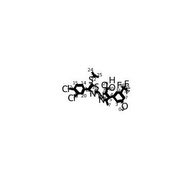 COc1cc(-c2c(C)nn(-c3nc(-c4ccc(Cl)c(Cl)c4)c(SC(C)C)s3)c2C(=O)O)cc(C(F)(F)F)c1